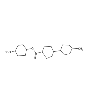 CCCCCCCCC1CCC(OC(=O)C2CCC(C3CCC(C)CC3)CC2)CC1